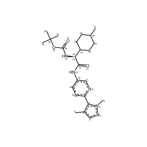 Cc1cnn(C)c1-c1ncc(NC(=O)[C@@H](NC(=O)OC(C)(C)C)C2CCC(C)CC2)cn1